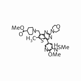 COC(=O)C1CCN(Cc2c(C)sc3c(-c4cnc(OC)c(NSC)c4)nc(N4CCOCC4)nc23)CC1